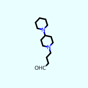 O=CCCCN1CCC(N2CCCCC2)CC1